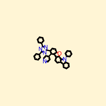 c1ccc(-c2nc(-c3ccccc3)nc(-c3ccc4oc5c(ccc6c7ccccc7n(-c7ccccc7)c65)c4c3-c3ccncc3)n2)cc1